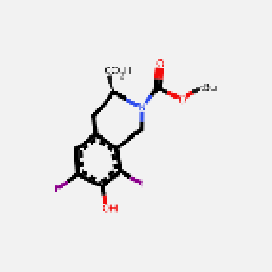 CC(C)(C)OC(=O)N1Cc2c(cc(I)c(O)c2I)C[C@H]1C(=O)O